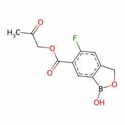 CC(=O)COC(=O)c1cc2c(cc1F)COB2O